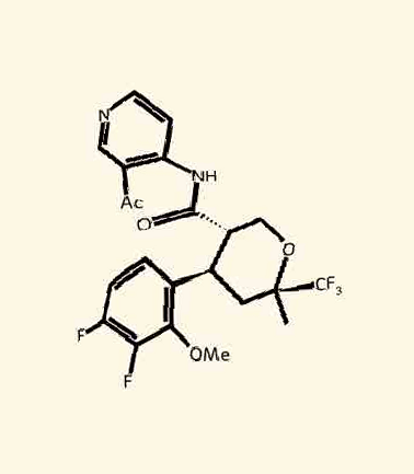 COc1c([C@@H]2C[C@](C)(C(F)(F)F)OC[C@H]2C(=O)Nc2ccncc2C(C)=O)ccc(F)c1F